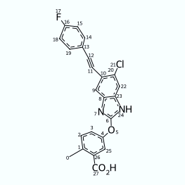 Cc1ccc(Oc2nc3cc(C#Cc4ccc(F)cc4)c(Cl)cc3[nH]2)cc1C(=O)O